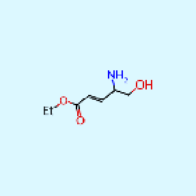 CCOC(=O)/C=C/C(N)CO